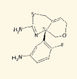 NC1=N[C@@]2(c3cc(N)ccc3F)COCC=C2CS1